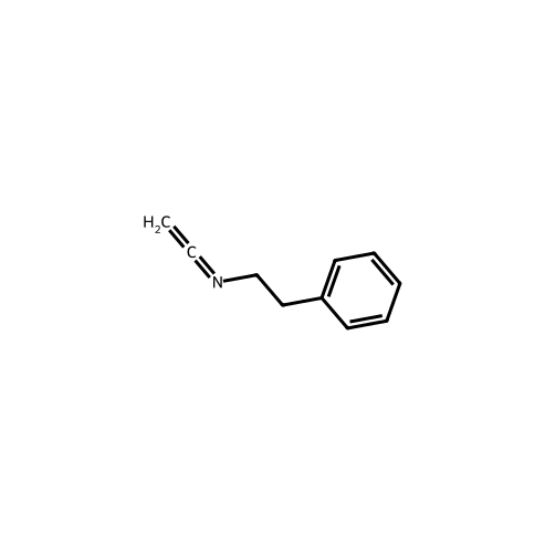 C=C=NCCc1ccccc1